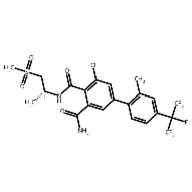 Cc1cc(C(F)(C(F)(F)F)C(F)(F)F)ccc1-c1cc(Cl)c(C(=O)N[C@H](C)CS(C)(=O)=O)c(C(N)=O)c1